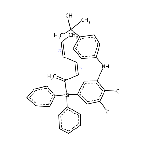 C=C(/C=C\C=C/C)[Si](c1ccccc1)(c1ccccc1)c1cc(Cl)c(Cl)c(Nc2ccc(C(C)(C)C)cc2)c1